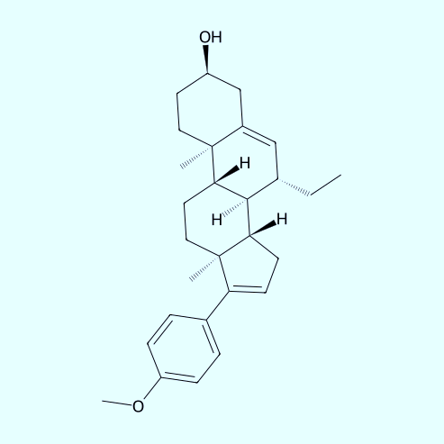 CC[C@H]1C=C2C[C@H](O)CC[C@]2(C)[C@H]2CC[C@]3(C)C(c4ccc(OC)cc4)=CC[C@H]3[C@H]12